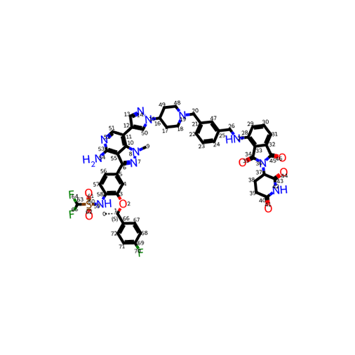 C[C@H](Oc1cc(-c2nn(C)c3c(-c4cnn(C5CCN(Cc6cccc(CNc7cccc8c7C(=O)N(C7CCC(=O)NC7=O)C8=O)c6)CC5)c4)cnc(N)c23)ccc1NS(=O)(=O)C(F)F)c1ccc(F)cc1